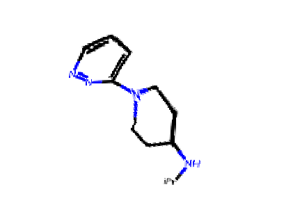 CC(C)NC1CCN(c2cccnn2)CC1